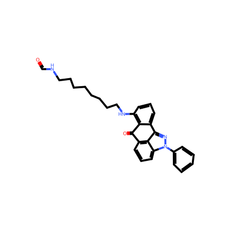 O=CNCCCCCCCCNc1cccc2c1C(=O)c1cccc3c1c-2nn3-c1ccccc1